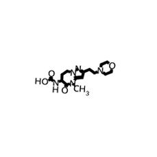 CN1C(=O)C(NC(=O)O)CCn2nc(CCN3CCOCC3)cc21